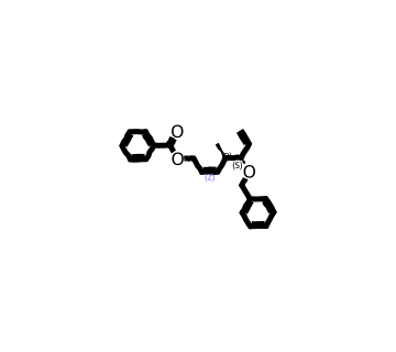 C=C[C@H](OCc1ccccc1)[C@H](C)/C=C\COC(=O)c1ccccc1